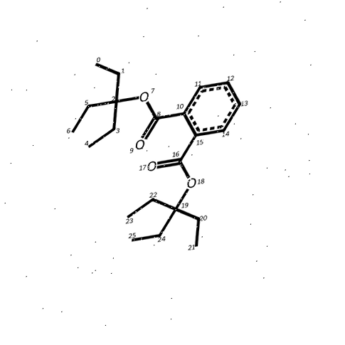 CCC(CC)(CC)OC(=O)c1ccccc1C(=O)OC(CC)(CC)CC